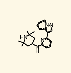 CC1(C)CC(Nc2cccc(-c3cnn4ccccc34)n2)CC(C)(C)N1